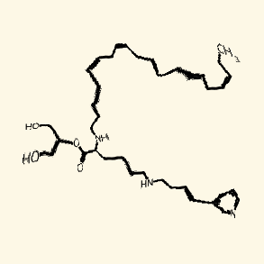 CC/C=C\CC=CCC=CC/C=C\C/C=C\CCCCN[C@@H](CCCCNCC/C=C/c1cccnc1)C(=O)OC(CO)CO